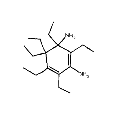 CCC1=C(CC)C(CC)(CC)C(N)(CC)C(CC)=C1N